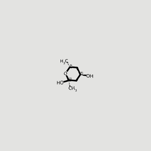 C[C@@H]1C[C@@H](O)C[C@@](C)(O)O1